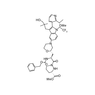 COC(=O)[C@@H]1CCCN(C(=O)[C@H](C[C@H]2CN(c3ccc4c(c3)c(CC(C)(C)CO)c(-c3cccnc3[C@H](C)OC)n4CC(F)(F)F)CCO2)NC(=O)OCc2ccccc2)N1